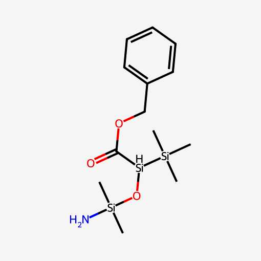 C[Si](C)(N)O[SiH](C(=O)OCc1ccccc1)[Si](C)(C)C